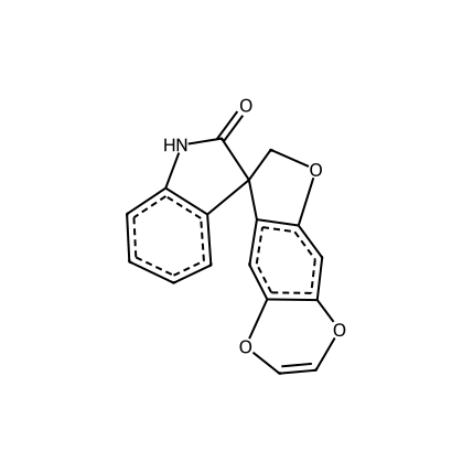 O=C1Nc2ccccc2C12COc1cc3c(cc12)OC=CO3